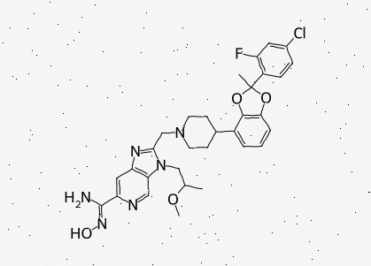 COC(C)Cn1c(CN2CCC(c3cccc4c3OC(C)(c3ccc(Cl)cc3F)O4)CC2)nc2cc(C(N)=NO)ncc21